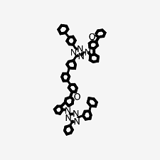 c1ccc(-c2ccc(-c3nc(-c4ccc(-c5cccc(-c6ccc7oc8cc9c(cc8c7c6)c6ccccc6n9-c6nc(-c7ccccc7)nc(-c7cccc(-c8ccccc8)c7)n6)c5)cc4)nc(-n4c5ccccc5c5cc6c(cc54)oc4ccccc46)n3)cc2)cc1